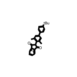 Cc1cc(-c2ccc(C(C)(C)C)cc2)cc(C)c1C1C(=O)c2c(c3ccc2o3)C1=O